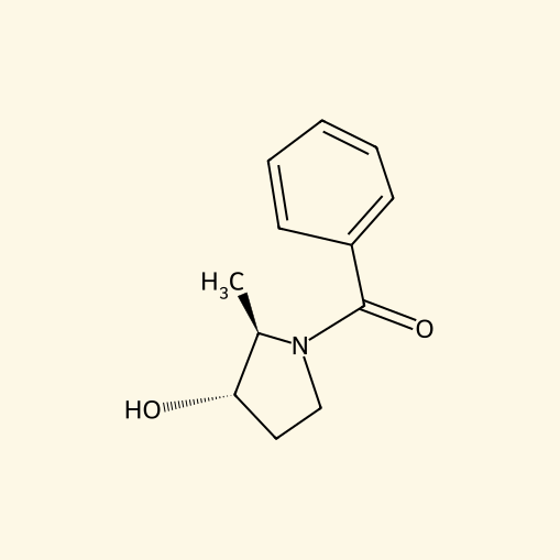 C[C@@H]1[C@@H](O)CCN1C(=O)c1ccccc1